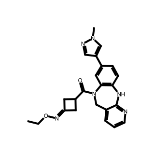 CCON=C1CC(C(=O)N2Cc3cccnc3Nc3ccc(-c4cnn(C)c4)cc32)C1